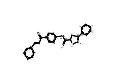 O=C(/C=C/c1ccccc1)c1ccc(NC(=O)C2CC(c3ccccc3)=NO2)cc1